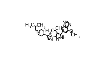 COc1cc(-c2[nH]nc(-c3ncc(C4CCN(CC(C)C)CC4)s3)c2C(C)C)cn2ncnc12